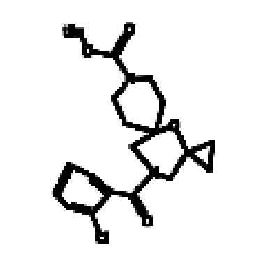 CC(C)(C)OC(=O)N1CCC2(CC1)CN(C(=O)c1ccccc1Cl)CC1(CC1)O2